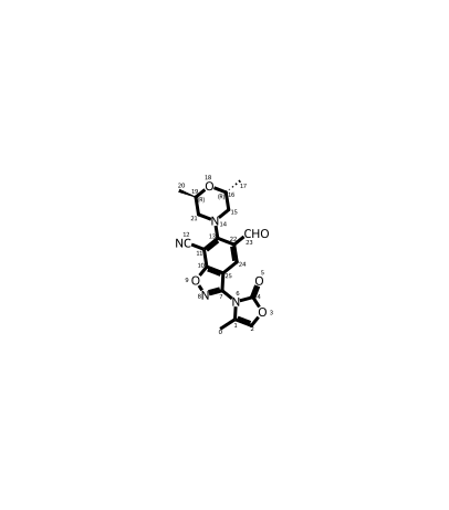 Cc1coc(=O)n1-c1noc2c(C#N)c(N3C[C@@H](C)O[C@H](C)C3)c(C=O)cc12